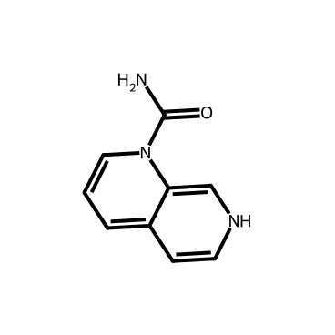 NC(=O)N1C=CC=C2C=CNC=C21